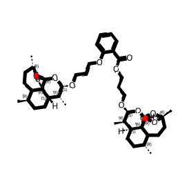 C[C@H]1[C@@H](OCCCOC(=O)c2ccccc2OCCCO[C@H]2O[C@@H]3O[C@@]4(C)CCC5[C@H](C)CC[C@@H]([C@H]2C)[C@]53OO4)O[C@@H]2O[C@@]3(C)CCC4[C@H](C)CC[C@@H]1[C@]42OO3